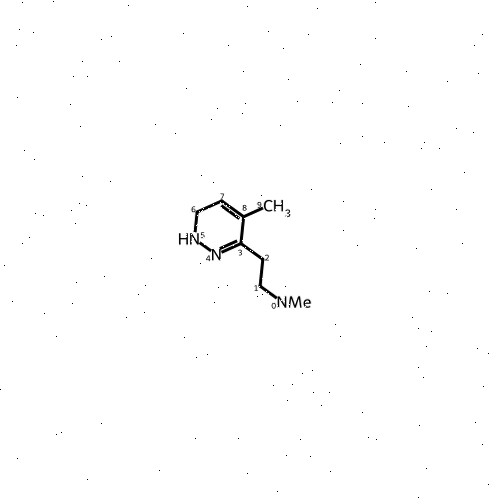 CNCCC1=NNCC=C1C